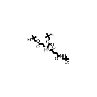 CCC(C)(C)CNC(=O)CCC(=O)N[C@@H](CCC(=O)OCC(C)(C)CC)C(=O)OCC(C)(C)CC